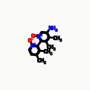 Cc1cc[n+]([O-])c(-c2c(C)c(C)c(N)c[n+]2[O-])c1C